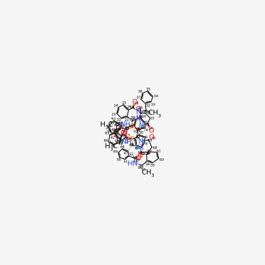 C[C@H](NC(=O)c1ccccc1[C@H]1N2C(=O)CCC(=O)N2[C@H](c2ccccc2C(=O)N[C@@H](C)c2ccccc2)P1C1C=CC=CC1P1[C@@H](c2ccccc2C(=O)N[C@@H](C)c2ccccc2)N2C(=O)CCC(=O)N2[C@@H]1c1ccccc1C(=O)N[C@@H](C)c1ccccc1)c1ccccc1